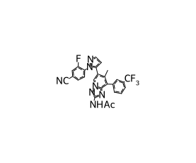 CC(=O)Nc1nc2c(-c3cccc(C(F)(F)F)c3)c(C)c(-c3ccnn3-c3ccc(C#N)cc3F)cn2n1